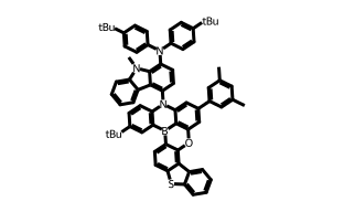 Cc1cc(C)cc(-c2cc3c4c(c2)N(c2ccc(N(c5ccc(C(C)(C)C)cc5)c5ccc(C(C)(C)C)cc5)c5c2c2ccccc2n5C)c2ccc(C(C)(C)C)cc2B4c2ccc4sc5ccccc5c4c2O3)c1